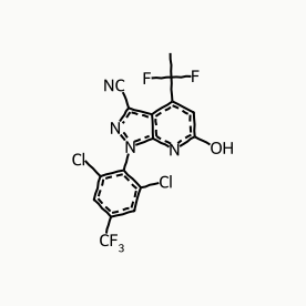 CC(F)(F)c1cc(O)nc2c1c(C#N)nn2-c1c(Cl)cc(C(F)(F)F)cc1Cl